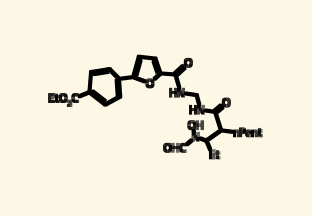 CCCCCC(C(=O)NCNC(=O)c1ccc(-c2ccc(C(=O)OCC)cc2)o1)C(CC)N(O)C=O